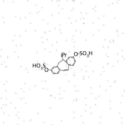 CC(C)C1Cc2cc(OS(=O)(=O)O)ccc2/C=C\c2ccc(OS(=O)(=O)O)cc21